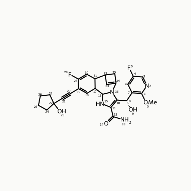 COc1ncc(F)cc1[C@H](O)C1=C(C(N)=O)NC2C3C=C(C#CC4(O)CCCC4)C(F)=CC3C3C=C(C3)N12